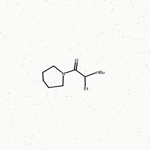 CCCCC(CC)C(=O)N1CCCCC1